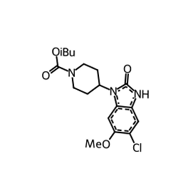 COc1cc2c(cc1Cl)[nH]c(=O)n2C1CCN(C(=O)OCC(C)C)CC1